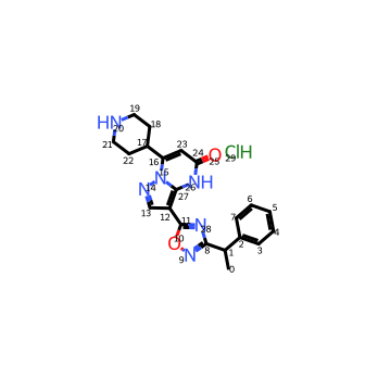 CC(c1ccccc1)c1noc(-c2cnn3c(C4CCNCC4)cc(=O)[nH]c23)n1.Cl